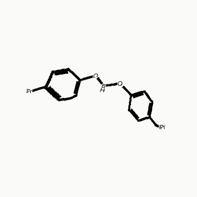 CC(C)c1ccc(OBOc2ccc(C(C)C)cc2)cc1